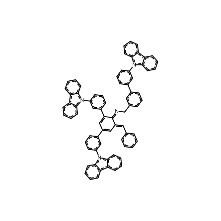 C1=C(c2cccc(-n3c4ccccc4c4ccccc43)c2)C=C(c2cccc(-n3c4ccccc4c4ccccc43)c2)C(=N/Cc2cccc(-c3cccc(-n4c5ccccc5c5ccccc54)c3)c2)/C1=C/c1ccccc1